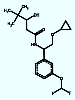 CC(C)(C)C(O)CC(=O)NC(COC1CC1)c1cccc(OC(F)F)c1